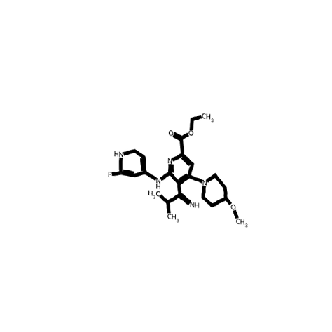 CCOC(=O)c1cc(N2CCC(OC)CC2)c(C(=N)C(C)C)c(NC2=CCNC(F)=C2)n1